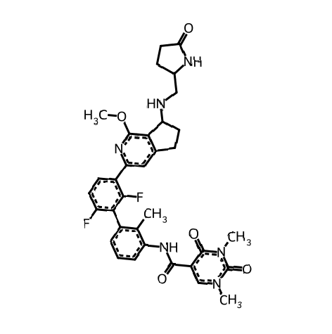 COc1nc(-c2ccc(F)c(-c3cccc(NC(=O)c4cn(C)c(=O)n(C)c4=O)c3C)c2F)cc2c1C(NCC1CCC(=O)N1)CC2